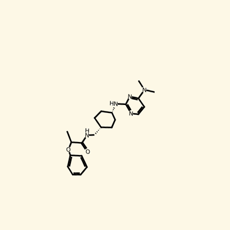 CC(Oc1ccccc1)C(=O)NC[C@H]1CC[C@@H](Nc2nccc(N(C)C)n2)CC1